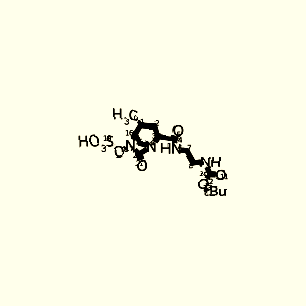 CC1=CC(C(=O)NCCNC(=O)OC(C)(C)C)N2CC1N(OS(=O)(=O)O)C2=O